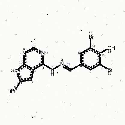 CC(C)c1cc2c(N/N=C/c3cc(Br)c(O)c(Br)c3)ncnc2s1